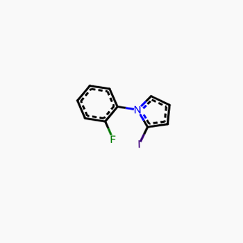 Fc1ccccc1-n1cccc1I